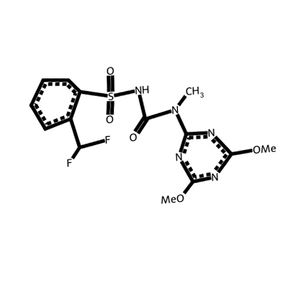 COc1nc(OC)nc(N(C)C(=O)NS(=O)(=O)c2ccccc2C(F)F)n1